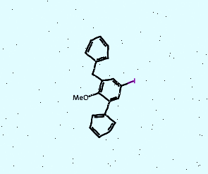 COc1c(Cc2ccccc2)cc(I)cc1-c1ccccc1